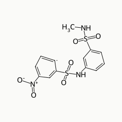 CNS(=O)(=O)c1cccc(NS(=O)(=O)c2[c]ccc([N+](=O)[O-])c2)c1